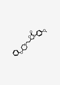 COc1ccc(N2CC(CCN3CCC(Oc4ccccc4)CC3)OC2=O)cc1